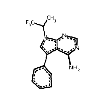 CC(n1cc(-c2ccccc2)c2c(N)ncnc21)C(F)(F)F